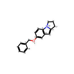 c1ccc(COc2ccc3c(c2)cc2n3CCC2)cc1